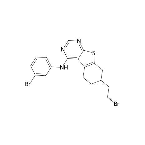 BrCCC1CCc2c(sc3ncnc(Nc4cccc(Br)c4)c23)C1